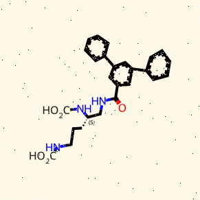 O=C(O)NCCC[C@@H](CNC(=O)c1cc(-c2ccccc2)cc(-c2ccccc2)c1)NC(=O)O